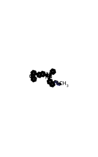 C/C=C\C=C/c1cccc2ccc(-c3nc(-c4ccccc4)nc(-c4ccc5cc(-c6cccc7oc8ccccc8c67)ccc5c4)n3)cc12